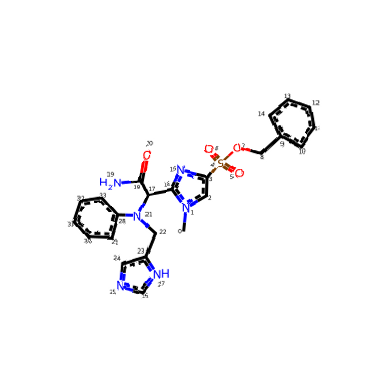 Cn1cc(S(=O)(=O)OCc2ccccc2)nc1C(C(N)=O)N(Cc1cnc[nH]1)c1ccccc1